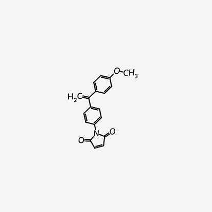 C=C(c1ccc(OC)cc1)c1ccc(N2C(=O)C=CC2=O)cc1